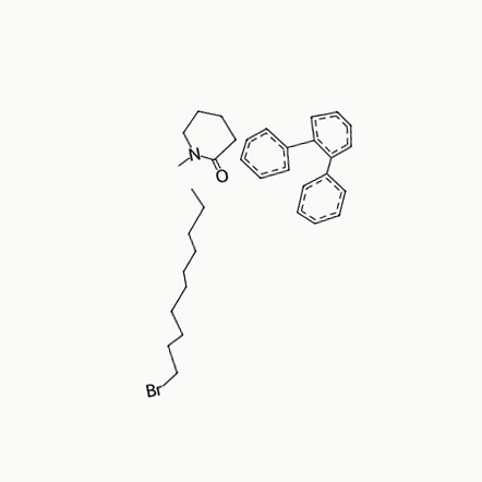 CCCCCCCCCCBr.CN1CCCCC1=O.c1ccc(-c2ccccc2-c2ccccc2)cc1